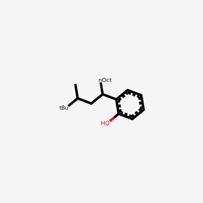 CCCCCCCCC(CC(C)C(C)(C)C)c1ccccc1O